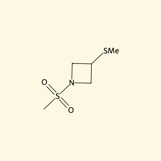 CSC1CN(S(C)(=O)=O)C1